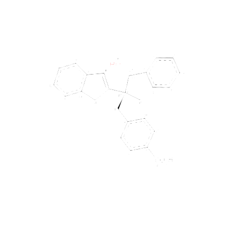 O=C(O)c1ccc(C[C@]2(C3=Cc4ccccc4C3)Cc3ccccc3[C@H]2O)cc1